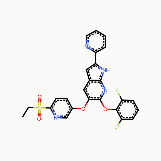 CCS(=O)(=O)c1ccc(Oc2cc3cc(-c4ccccn4)[nH]c3nc2Oc2c(F)cccc2F)cn1